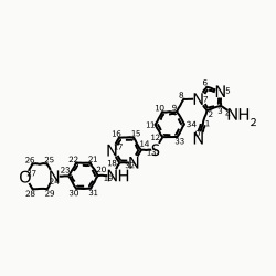 N#Cc1c(N)ncn1Cc1ccc(Sc2ccnc(Nc3ccc(N4CCOCC4)cc3)n2)cc1